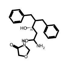 NC(O)C[C@H](O)C(Cc1ccccc1)Cc1ccccc1.O=C1COCN1